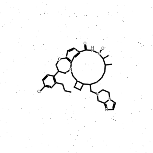 CCCc1cc(Cl)ccc1C1COc2ccc3cc2N(C1)CC1CCC1C(CN1CCn2ccnc2C1)CCCC(C)C(C)[S+]([O-])NC3=O